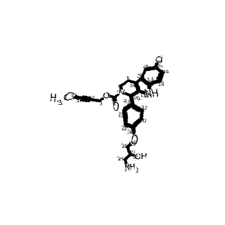 CC#CCOC(=O)N1CCc2c([nH]c3ccc(Cl)cc23)C1c1ccc(OCC(O)CN)cc1